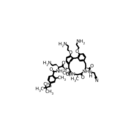 Cc1cc(CC(C)(C)C)ccc1C(=O)N[C@@H](CCN)C(=O)N(C)[C@@H]1C(=O)N[C@@H](C)C(=O)N[C@H](C(=O)NCC#N)Cc2ccc(OCCN)c(c2)-c2cc1ccc2OCCN